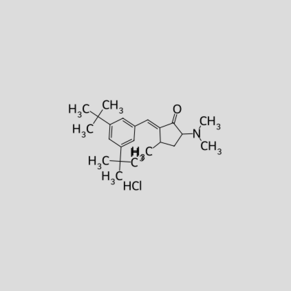 CC1CC(N(C)C)C(=O)C1=Cc1cc(C(C)(C)C)cc(C(C)(C)C)c1.Cl